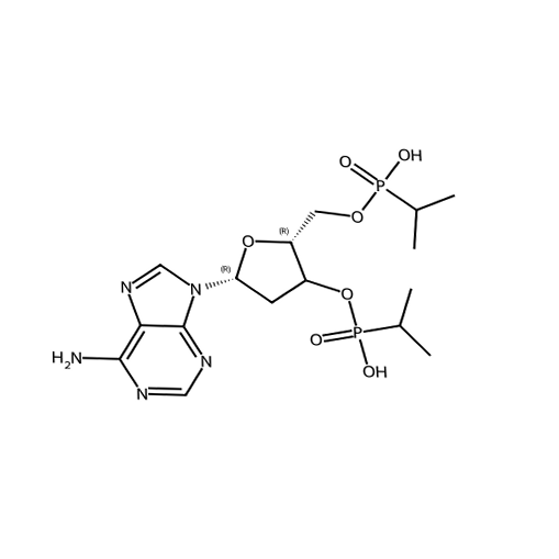 CC(C)P(=O)(O)OC[C@H]1O[C@@H](n2cnc3c(N)ncnc32)CC1OP(=O)(O)C(C)C